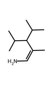 C/C(=C/N)C(C(C)C)C(C)C